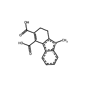 Cn1c2c(c3ccccc31)C(C(=O)O)=C(C(=O)O)CC2